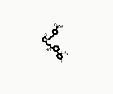 Cc1cc(F)ccc1-c1cccc(C(O)/C=C/C2CCC(=O)N2CCCc2ccc(C(=O)O)cc2)c1